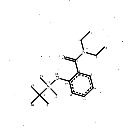 CCN(CC)C(=O)c1ccccc1O[Si](C)(C)C(C)(C)C